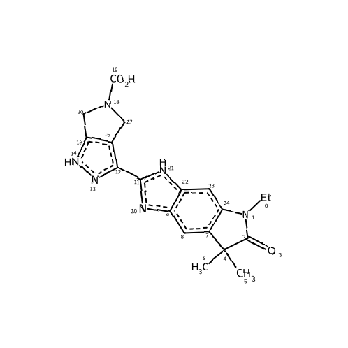 CCN1C(=O)C(C)(C)c2cc3nc(-c4n[nH]c5c4CN(C(=O)O)C5)[nH]c3cc21